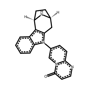 O=c1ccnc2ccc(-n3c4c(c5ccccc53)[C@H]3CC[C@@H](C4)N3)cn12